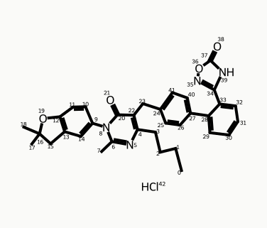 CCCCc1nc(C)n(-c2ccc3c(c2)CC(C)(C)O3)c(=O)c1Cc1ccc(-c2ccccc2-c2noc(=O)[nH]2)cc1.Cl